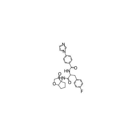 O=C(NC(Cc1ccc(F)cc1)C(=O)NC12CCCC1OCC2=O)c1ccc(-n2ccnc2)cc1